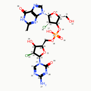 Cc1nc2c(ncn2[C@@H]2O[C@H](CO)C(OP(=O)(O)OC[C@H]3O[C@@H](n4cnc(N)nc4=O)[C@@H](Cl)C3O)[C@@H]2Cl)c(=O)[nH]1